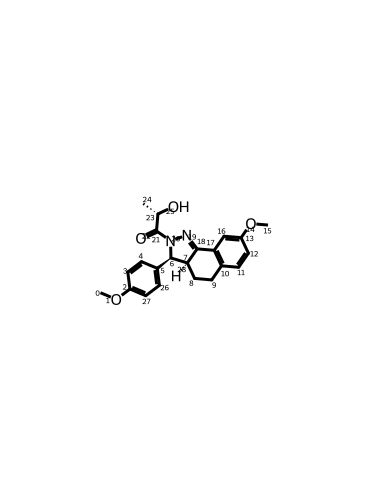 COc1ccc([C@@H]2[C@@H]3CCc4ccc(OC)cc4C3=NN2C(=O)[C@H](C)O)cc1